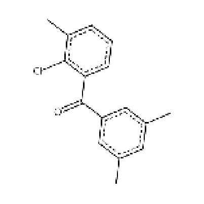 Cc1cc(C)cc(C(=O)c2cccc(C)c2Cl)c1